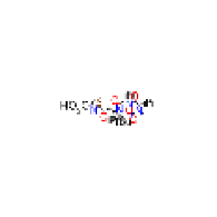 CC[C@H](C)[C@H](NC(=O)[C@@H](C(C)C)N(C)C(=O)OC(C)(C)C)C(=O)N(C)[C@H](C[C@@H](OC(C)C)c1nc(C(=O)O)cs1)C(C)C